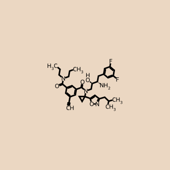 C#Cc1cc(C(=O)N(CCC)CCC)cc(C(=O)N(C[C@@H](O)[C@@H](N)Cc2cc(F)cc(F)c2)C2(c3cc(CC(C)C)no3)CC2)c1